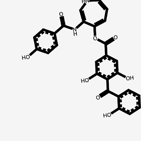 O=C(NC1=CNC=CC=C1OC(=O)c1cc(O)c(C(=O)c2ccccc2O)c(O)c1)c1ccc(O)cc1